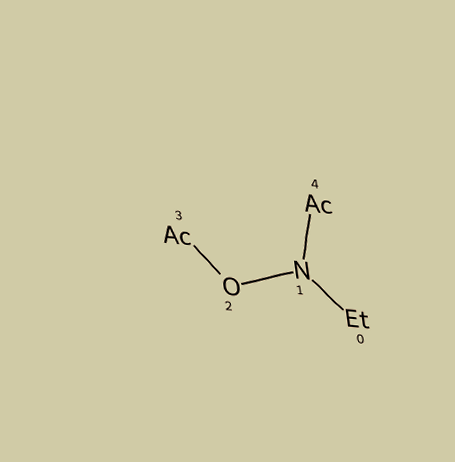 CCN(OC(C)=O)C(C)=O